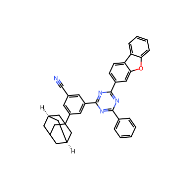 N#Cc1cc(-c2nc(-c3ccccc3)nc(-c3ccc4c(c3)oc3ccccc34)n2)cc(C23CC4C[C@H](C2)C[C@@H](C4)C3)c1